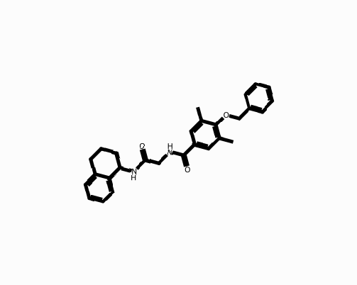 Cc1cc(C(=O)NCC(=O)NC2CCCc3ccccc32)cc(C)c1OCc1ccccc1